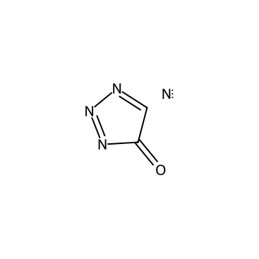 O=C1C=NN=N1.[N]